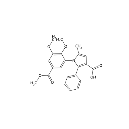 COC(=O)c1cc(OC)c(OC)c(-n2c(C)cc(C(=O)O)c2-c2ccccc2)c1